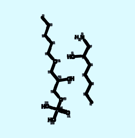 CCCCCC(O)CN.CCCCCOCC(O)COP(=O)(O)O